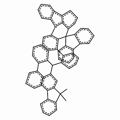 CC1(C)c2ccccc2-c2ccc(C(c3ccccc3-c3ccccc3)c3ccccc3-c3cccc4c3C3(c5ccccc5-c5ccccc53)c3cccc5c6ccccc6n-4c35)cc21